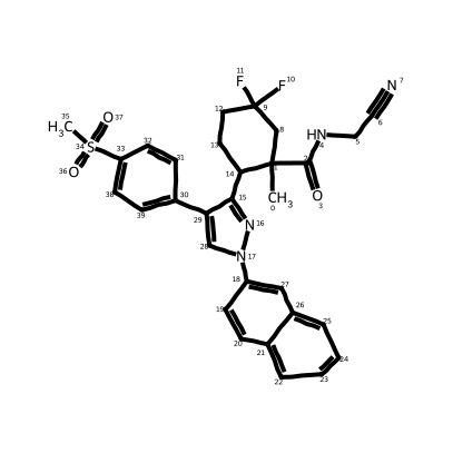 CC1(C(=O)NCC#N)CC(F)(F)CCC1c1nn(-c2ccc3ccccc3c2)cc1-c1ccc(S(C)(=O)=O)cc1